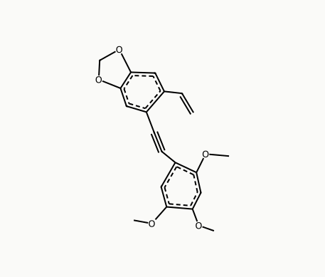 C=Cc1cc2c(cc1C#Cc1cc(OC)c(OC)cc1OC)OCO2